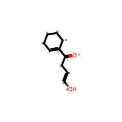 O=C(CC=CO)C1=CCCCC1